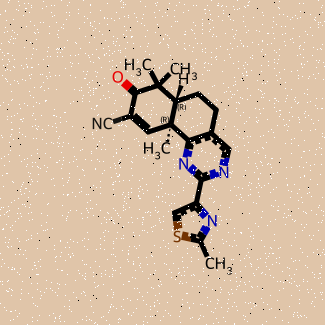 Cc1nc(-c2ncc3c(n2)[C@@]2(C)C=C(C#N)C(=O)C(C)(C)[C@@H]2CC3)cs1